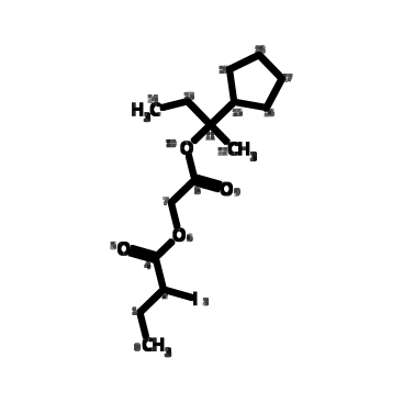 CCC(I)C(=O)OCC(=O)OC(C)(CC)C1CCCC1